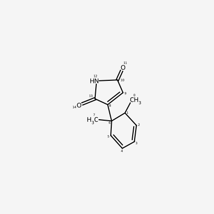 CC1C=CC=CC1(C)C1=CC(=O)NC1=O